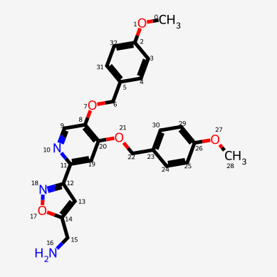 COc1ccc(COc2cnc(-c3cc(CN)on3)cc2OCc2ccc(OC)cc2)cc1